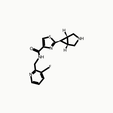 O=C(NCc1ncccc1F)c1csc([C@H]2[C@@H]3CNC[C@@H]32)n1